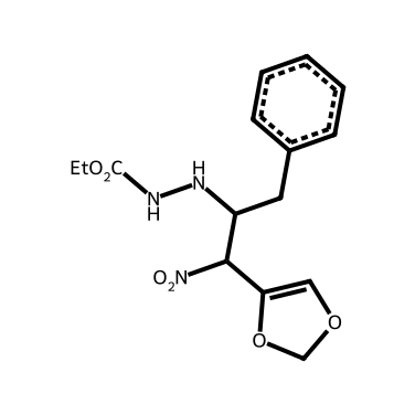 CCOC(=O)NNC(Cc1ccccc1)C(C1=COCO1)[N+](=O)[O-]